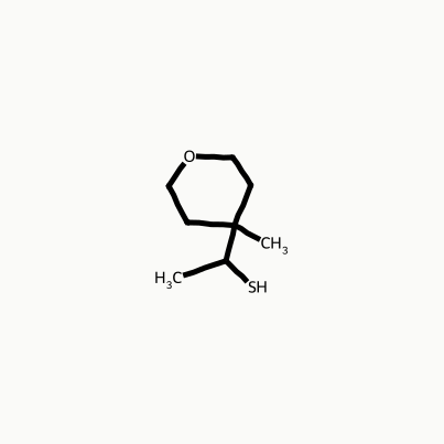 CC(S)C1(C)CCOCC1